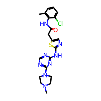 Cc1cccc(Cl)c1NC(=O)Cc1cnc(Nc2ncnc(N3CCN(C)CC3)n2)s1